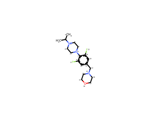 CC(C)N1CCN(c2c(F)cc(CN3CCOCC3)cc2F)CC1